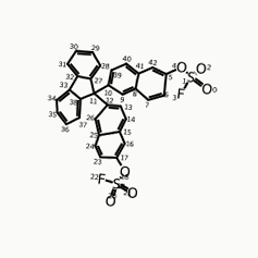 O=S(=O)(F)Oc1ccc2cc(C3(c4ccc5cc(OS(=O)(=O)F)ccc5c4)c4ccccc4-c4ccccc43)ccc2c1